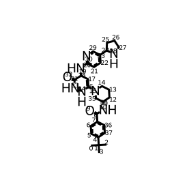 CC(C)(C)c1ccc(C(=O)N[C@@H]2CCCN(C3=CC(Nc4ccc(C5CCCN5)cn4)C(=O)NN3)C2)cc1